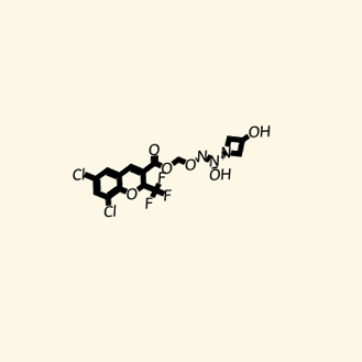 O=C(OCO/N=[N+](\O)N1CC(O)C1)C1=Cc2cc(Cl)cc(Cl)c2OC1C(F)(F)F